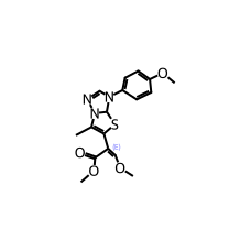 CO/C=C(\C(=O)OC)C1=C(C)N2N=CN(c3ccc(OC)cc3)C2S1